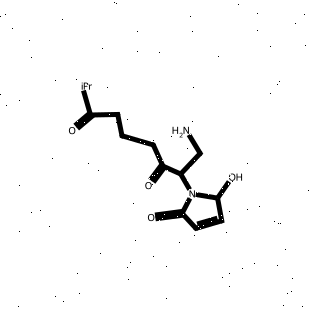 CC(C)C(=O)CCCC(=O)C(CN)N1C(=O)C=CC1O